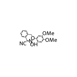 COc1ccc(OCc2ccccc2C(C#N)=NO)cc1OC